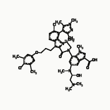 Cc1cc(OCCCc2c3n(c4c(-c5c(C)nn(C)c5C)c(Cl)ccc24)[C@H](C)CN(c2cc(N(C)C(O)CN(C)C)cc4c(C(=O)O)cn(C)c24)C3=O)cc(C)c1Cl